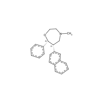 CN1CCO[C@@H](c2ccccc2)[C@@H](c2ccc3ccccc3c2)C1